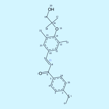 CSc1ccc(C(=O)/C=C/c2cc(C)c(OC(C)(C)CO)c(C)c2)cc1